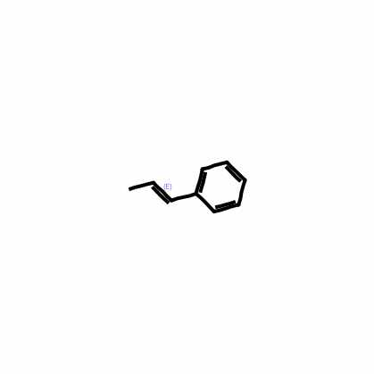 C/C=C/c1ccccc1